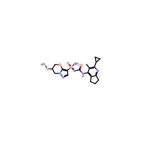 CCCOC1COc2c(S(N)(=O)=NC(=O)Nc3c(C)c(C4CC4)nc4c3CCC4)cnn2C1